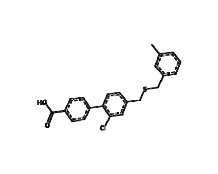 Cc1cccc(CSCc2ccc(-c3ccc(C(=O)O)cc3)c(Cl)c2)c1